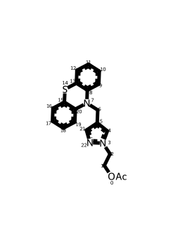 CC(=O)OCCn1cc(CN2c3ccccc3Sc3ccccc32)cn1